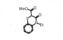 CCN1C(=O)C(C(=O)OC)Sc2ccccc21